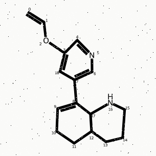 C=COc1cncc(C2=CCCC3CCCNC23)c1